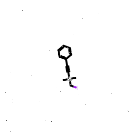 C[Si](C)(C#Cc1ccccc1)CI